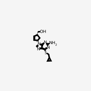 Nc1nc(SCC2CC2)c2ncn([C@@H]3C=C[C@H](CO)C3)c2n1